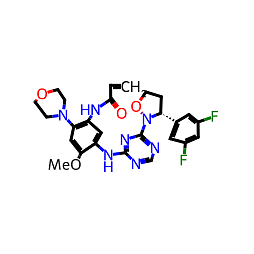 C=CC(=O)Nc1cc(Nc2ncnc(N3OCC[C@@H]3c3cc(F)cc(F)c3)n2)c(OC)cc1N1CCOCC1